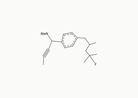 CC#CC(NC)c1ccc(CC(C)CC(C)(C)F)cc1